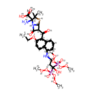 CCOc1ccc2c(NCCC(O)(P(=O)(OOC)OOC)P(=O)(OOC)OOC)cccc2c1C(=O)C1C(=O)N2C1SC(C)(C)C2(N)C(=O)O